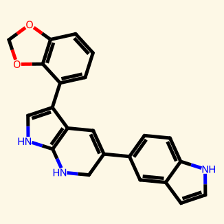 C1=C(c2ccc3[nH]ccc3c2)CNc2[nH]cc(-c3cccc4c3OCO4)c21